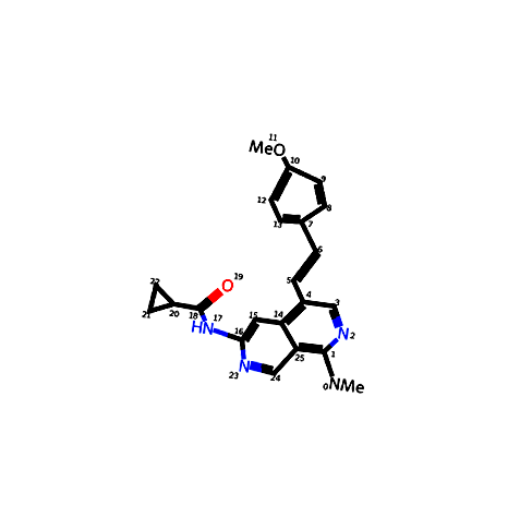 CNc1ncc(C=Cc2ccc(OC)cc2)c2cc(NC(=O)C3CC3)ncc12